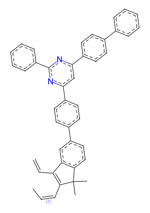 C=CC1=C(/C=C\C)C(C)(C)c2ccc(-c3ccc(-c4cc(-c5ccc(-c6ccccc6)cc5)nc(-c5ccccc5)n4)cc3)cc21